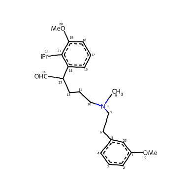 COc1cccc(CCN(C)CCCC(C=O)c2cccc(OC)c2C(C)C)c1